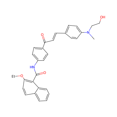 CCOc1ccc2ccccc2c1C(=O)Nc1ccc(C(=O)/C=C/c2ccc(N(C)CCO)cc2)cc1